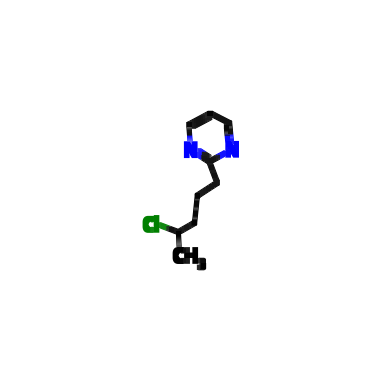 CC(Cl)CCCc1ncccn1